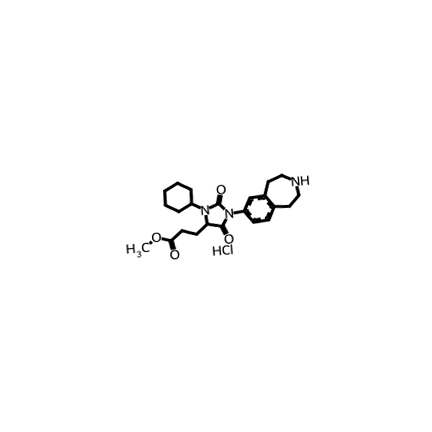 COC(=O)CCC1C(=O)N(c2ccc3c(c2)CCNCC3)C(=O)N1C1CCCCC1.Cl